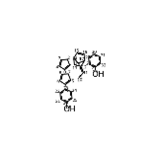 C1=CCC=C1.C1=CCC=C1.CC=C1CC2C=CC1C2.Oc1ccccc1.Oc1ccccc1